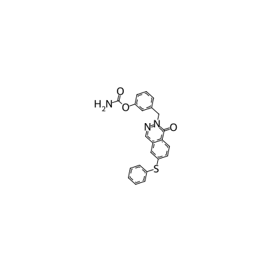 NC(=O)Oc1cccc(Cn2ncc3cc(Sc4ccccc4)ccc3c2=O)c1